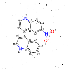 O=[N+]([O-])c1ccc2ncccc2c1.c1ccc2ncccc2c1